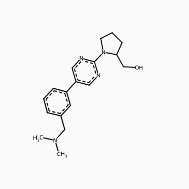 CN(C)Cc1cccc(-c2cnc(N3CCCC3CO)nc2)c1